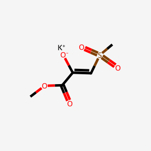 COC(=O)C([O-])=CS(C)(=O)=O.[K+]